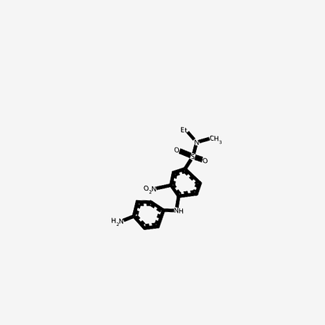 CCN(C)S(=O)(=O)c1ccc(Nc2ccc(N)cc2)c([N+](=O)[O-])c1